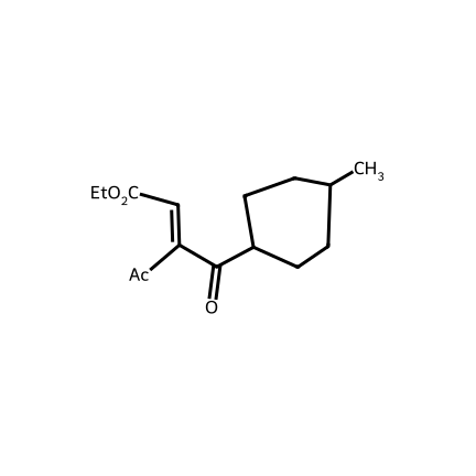 CCOC(=O)C=C(C(C)=O)C(=O)C1CCC(C)CC1